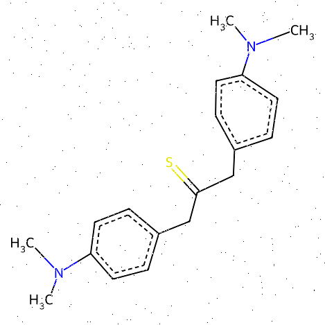 CN(C)c1ccc(CC(=S)Cc2ccc(N(C)C)cc2)cc1